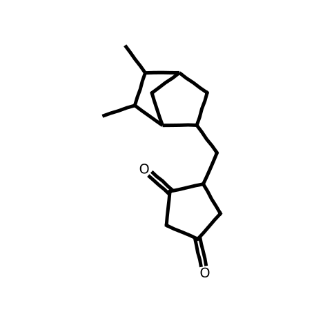 CC1C2CC(CC3CC(=O)CC3=O)C(C2)C1C